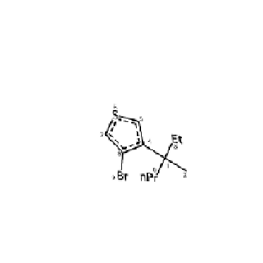 CCCC(C)(CC)c1cscc1Br